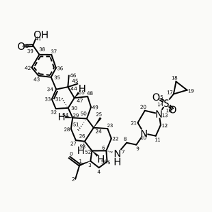 C=C(C)[C@@H]1CC[C@]2(NCCN3CCN(S(=O)(=O)C4CC4)CC3)CC[C@]3(C)[C@H](CC[C@@H]4[C@@]5(C)CC=C(c6ccc(C(=O)O)cc6)C(C)(C)[C@@H]5CC[C@]43C)[C@@H]12